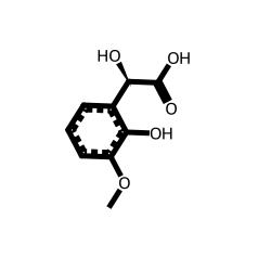 COc1cccc([C@@H](O)C(=O)O)c1O